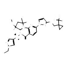 CCn1cc(S(=O)(=O)NC(=O)c2ccc(-n3ccc(OCC4(C(F)(F)P)CC4)n3)nc2N2C[C@](C)(SC)CC2(C)C)cn1